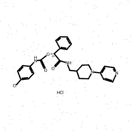 Cl.O=C(Nc1ccc(Cl)cc1)O[C@@H](C(=O)NCC1CCN(c2ccncc2)CC1)c1ccccc1